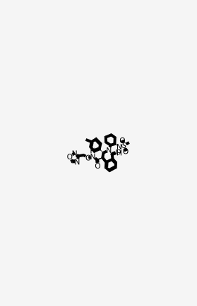 Cc1ccc([C@H]2[C@H](C(=O)NOCc3ncon3)c3ccccc3C(=O)N2C2CCCC[C@@H]2NS(C)(=O)=O)cc1